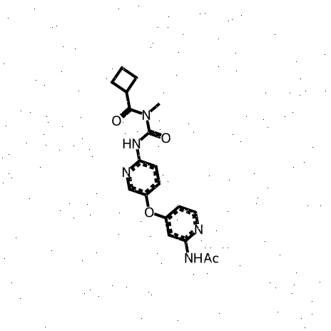 CC(=O)Nc1cc(Oc2ccc(NC(=O)N(C)C(=O)C3CCC3)nc2)ccn1